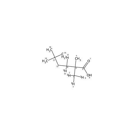 [2H]C([2H])([2H])C(C)(C(=O)O)C([2H])([2H])CC(C)(C)C